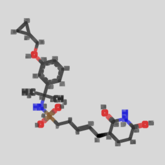 CC(C)(NS(=O)(=O)CC/C=C/C[C@@H]1CCC(=O)NC1=O)c1cccc(OCC2CC2)c1